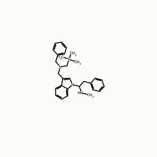 CNC(Cc1ccccc1)n1cc(CN(Cc2ccccc2)C[Si](C)(C)C)c2ccccc21